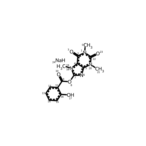 Cn1c(=O)c2c(nc(OC(=O)c3ccccc3O)n2C)n(C)c1=O.[NaH]